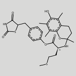 CSCC[C@H](NC1(C)CCc2c(C)c(O)c(C)c(C)c2O1)C(=O)Oc1ccc(CC2SC(=O)NC2=O)cc1